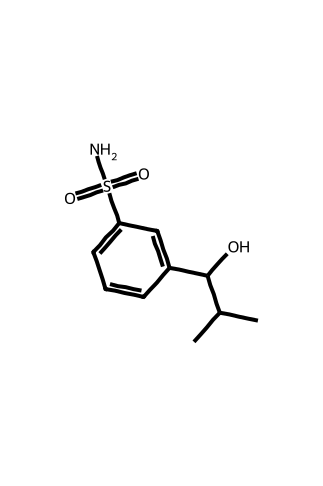 CC(C)C(O)c1cccc(S(N)(=O)=O)c1